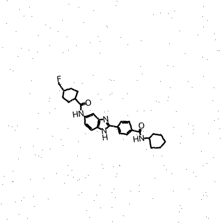 O=C(NC1CCCCC1)c1ccc(-c2nc3cc(NC(=O)C4CCC(CF)CC4)ccc3[nH]2)cc1